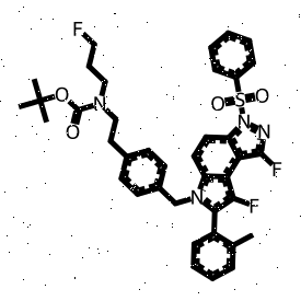 Cc1ccccc1-c1c(F)c2c3c(F)nn(S(=O)(=O)c4ccccc4)c3ccc2n1Cc1ccc(CCN(CCCF)C(=O)OC(C)(C)C)cc1